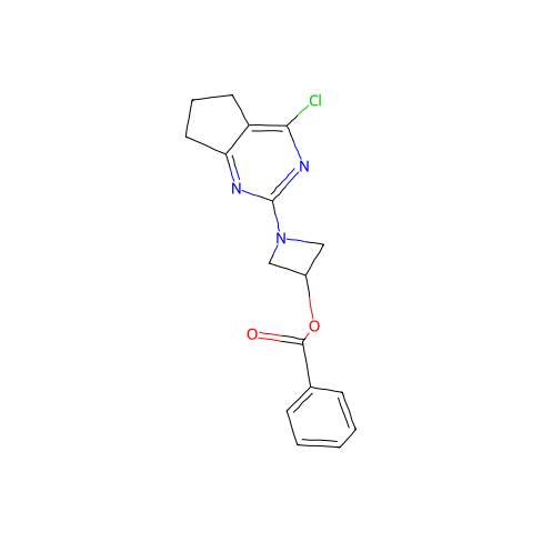 O=C(OC1CN(c2nc(Cl)c3c(n2)CCC3)C1)c1ccccc1